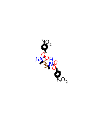 CC(NC(=O)OCc1ccc([N+](=O)[O-])cc1)SSC(C)NC(=O)OCc1ccc([N+](=O)[O-])cc1